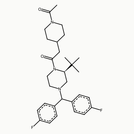 CC(=O)N1CCC(CC(=O)N2CCN(C(c3ccc(F)cc3)c3ccc(F)cc3)C[C@@H]2C(C)(C)C)CC1